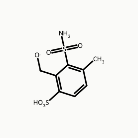 Cc1ccc(S(=O)(=O)O)c(C[O])c1S(N)(=O)=O